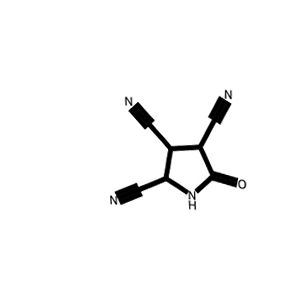 N#CC1NC(=O)C(C#N)C1C#N